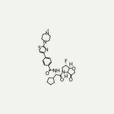 CN1CCN(c2nc(-c3ccc(C(=O)N[C@H](C(=O)N4C[C@H](F)[C@H]5OCC(=O)[C@H]54)C4CCCC4)cc3)cs2)CC1